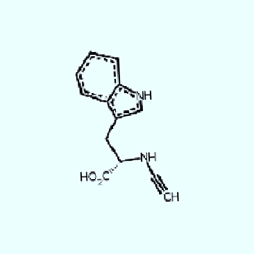 C#CN[C@@H](Cc1c[nH]c2ccccc12)C(=O)O